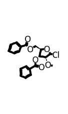 CO[C@H]1C(Cl)O[C@H](COC(=O)c2ccccc2)[C@H]1OC(=O)c1ccccc1